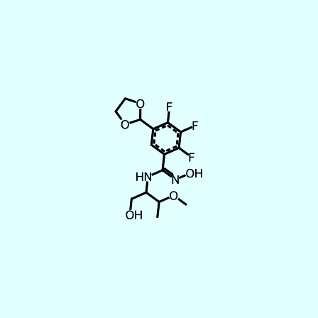 COC(C)C(CO)NC(=NO)c1cc(C2OCCO2)c(F)c(F)c1F